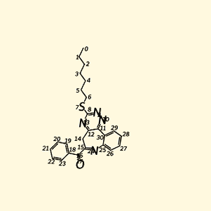 CCCCCCCSc1nnc2c(n1)CC(C(=O)c1ccccc1)=Nc1ccccc1-2